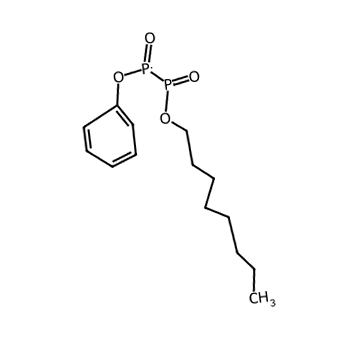 CCCCCCCCO[P](=O)[P](=O)Oc1ccccc1